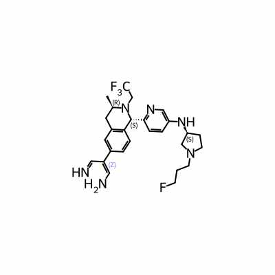 C[C@@H]1Cc2cc(/C(C=N)=C/N)ccc2[C@@H](c2ccc(N[C@H]3CCN(CCCF)C3)cn2)N1CC(F)(F)F